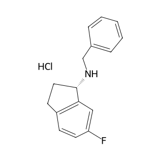 Cl.Fc1ccc2c(c1)[C@@H](NCc1ccccc1)CC2